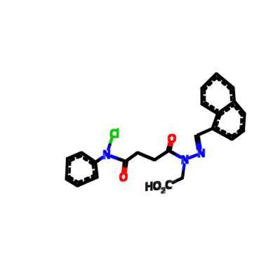 O=C(O)CN(N=Cc1cccc2ccccc12)C(=O)CCC(=O)N(Cl)c1ccccc1